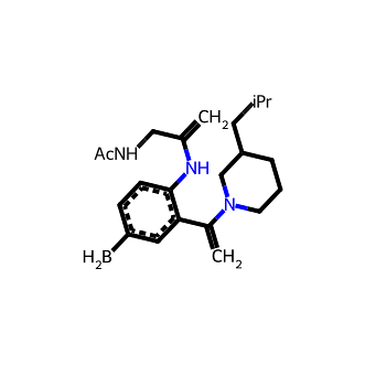 Bc1ccc(NC(=C)CNC(C)=O)c(C(=C)N2CCCC(CC(C)C)C2)c1